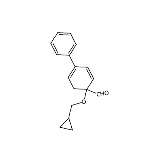 O=CC1(OCC2CC2)C=CC(c2ccccc2)=CC1